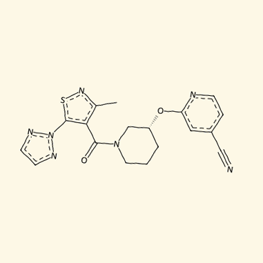 Cc1nsc(-n2nccn2)c1C(=O)N1CCC[C@@H](Oc2cc(C#N)ccn2)C1